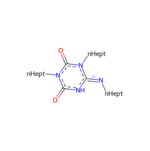 CCCCCCC/N=c1\[nH]c(=O)n(CCCCCCC)c(=O)n1CCCCCCC